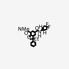 CCC1(c2ccccc2)COc2c(C(=O)NC)cc(C(=O)NC3[C@H]4CC(F)(F)C[C@@H]34)cc21